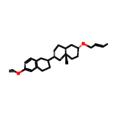 C/C=C/CO[C@@H]1CC[C@@H]2CC(C3CCc4cc(OCCC)ccc4C3)CCC2C1